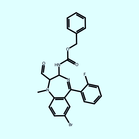 CN1c2ccc(Br)cc2C(c2ccccc2F)=NC(NC(=O)OCc2ccccc2)C1C=O